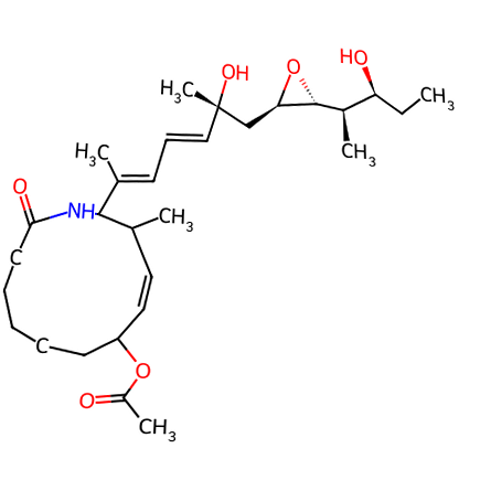 CC[C@H](O)[C@@H](C)[C@H]1O[C@@H]1C[C@@](C)(O)C=CC=C(C)C1NC(=O)CCCCCC(OC(C)=O)C=CC1C